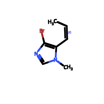 C/C=C\c1c(Br)ncn1C